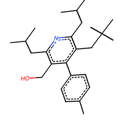 Cc1ccc(-c2c([CH]C(C)(C)C)c(CC(C)C)nc(CC(C)C)c2CO)cc1